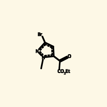 CCOC(=O)C(=O)c1cc(Br)nn1C